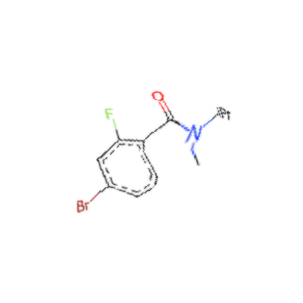 CC(C)N(C)C(=O)c1ccc(Br)cc1F